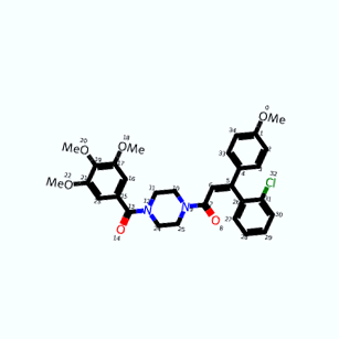 COc1ccc(C(=CC(=O)N2CCN(C(=O)c3cc(OC)c(OC)c(OC)c3)CC2)c2ccccc2Cl)cc1